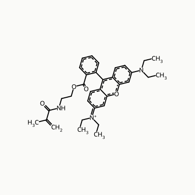 C=C(C)C(=O)NCCOC(=O)c1ccccc1-c1c2ccc(=[N+](CC)CC)cc-2oc2cc(N(CC)CC)ccc12